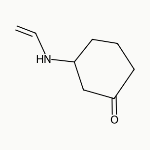 C=CNC1CCCC(=O)C1